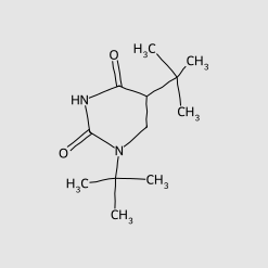 CC(C)(C)C1CN(C(C)(C)C)C(=O)NC1=O